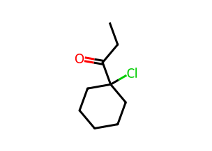 CCC(=O)C1(Cl)CCCCC1